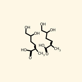 CC(=CCC(O)CO)C(=O)O.CC(=CCC(O)CO)C(=O)O